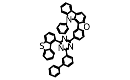 c1ccc(-c2cccc(-c3nc(-c4ccc5oc6ccc7c8ccccc8n(-c8ccccc8)c7c6c5c4)nc(-c4cccc5sc6ccccc6c45)n3)c2)cc1